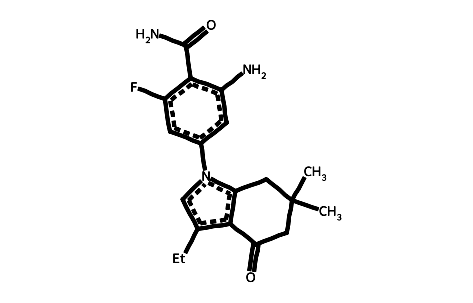 CCc1cn(-c2cc(N)c(C(N)=O)c(F)c2)c2c1C(=O)CC(C)(C)C2